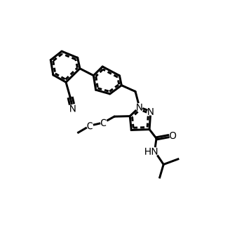 CCCCc1cc(C(=O)NC(C)C)nn1Cc1ccc(-c2ccccc2C#N)cc1